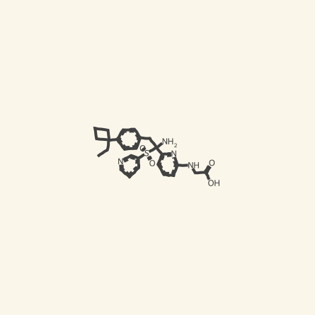 CCC1(c2ccc(CC(N)(c3cccc(NCC(=O)O)n3)S(=O)(=O)c3cccnc3)cc2)CCC1